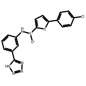 [O-][S+](Nc1cccc(-c2nnn[nH]2)c1)c1ccc(-c2ccc(Cl)cc2)s1